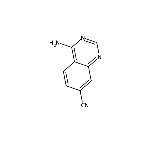 N#Cc1ccc2c(N)ncnc2c1